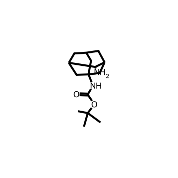 CC(C)(C)OC(=O)NC12CC3CC(C1)C(N)C(C3)C2